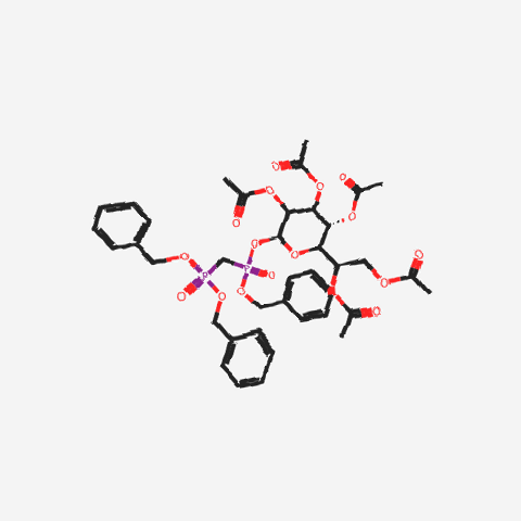 CC(=O)OC[C@@H](OC(C)=O)C1O[C@@H](OP(=O)(CP(=O)(OCc2ccccc2)OCc2ccccc2)OCc2ccccc2)C(OC(C)=O)C(OC(C)=O)[C@@H]1OC(C)=O